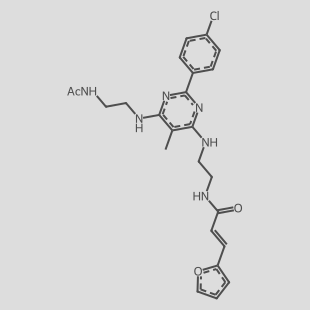 CC(=O)NCCNc1nc(-c2ccc(Cl)cc2)nc(NCCNC(=O)C=Cc2ccco2)c1C